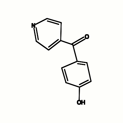 O=C(c1ccncc1)c1ccc(O)cc1